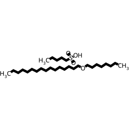 CCCCCCCCCCCCCCCCOCCCCCCCC.CCCCCS(=O)(=O)O